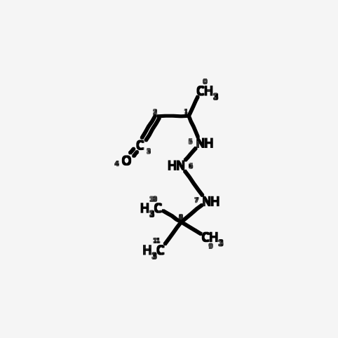 CC(C=C=O)NNNC(C)(C)C